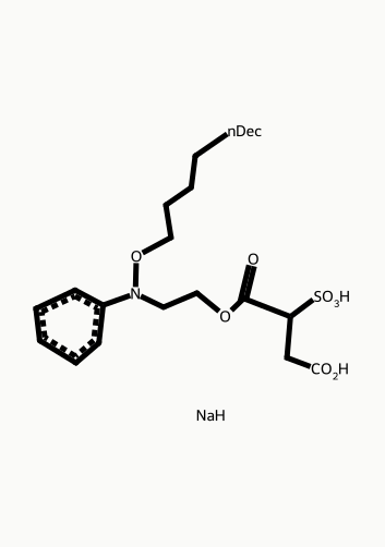 CCCCCCCCCCCCCCON(CCOC(=O)C(CC(=O)O)S(=O)(=O)O)c1ccccc1.[NaH]